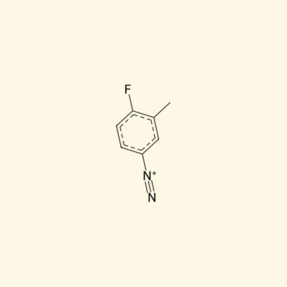 Cc1cc([N+]#N)ccc1F